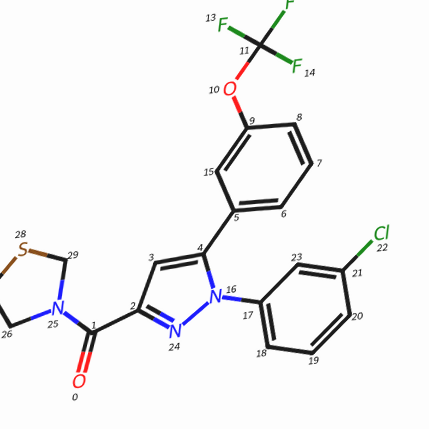 O=C(c1cc(-c2cccc(OC(F)(F)F)c2)n(-c2cccc(Cl)c2)n1)N1CCSC1